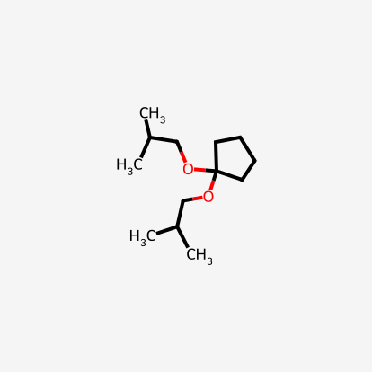 CC(C)COC1(OCC(C)C)CCCC1